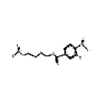 O=C(OCCCCO[N+](=O)[O-])c1ccc([N+](=O)[O-])c(Cl)c1